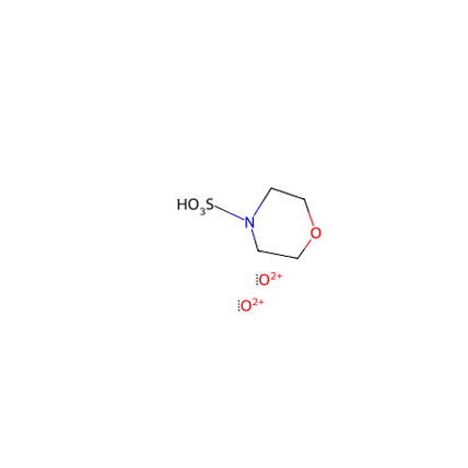 O=S(=O)(O)N1CCOCC1.[O+2].[O+2]